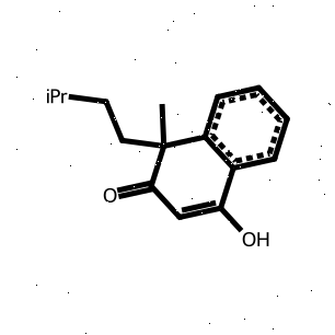 CC(C)CCC1(C)C(=O)C=C(O)c2ccccc21